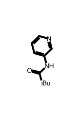 CCC(C)C(=O)Nc1cccnc1